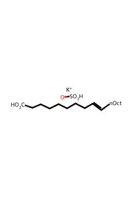 CCCCCCCCC=CCCCCCCCC(=O)O.O=S(=O)([O-])O.[K+]